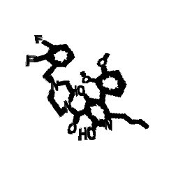 CCCCc1nc(O)c(C(=O)N2CCN(Cc3cccc(F)c3F)CC2)c(O)c1-c1cccc(OC)c1OC